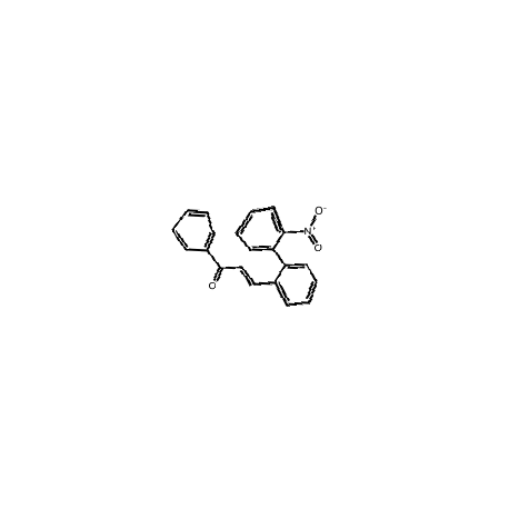 O=C(/C=C/c1ccccc1-c1ccccc1[N+](=O)[O-])c1ccccc1